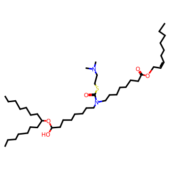 CCCCCC/C=C\COC(=O)CCCCCCCN(CCCCCCCC(O)OC(CCCCCCC)CCCCCCC)C(=O)SCCN(C)C